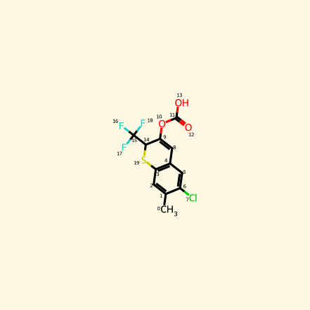 Cc1cc2c(cc1Cl)C=C(OC(=O)O)C(C(F)(F)F)S2